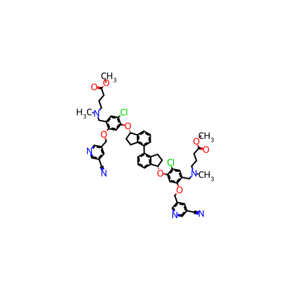 COC(=O)CCCN(C)Cc1cc(Cl)c(O[C@H]2CCc3c(-c4cccc5c4CC[C@@H]5Oc4cc(OCc5cncc(C#N)c5)c(CN(C)CCCC(=O)OC)cc4Cl)cccc32)cc1OCc1cncc(C#N)c1